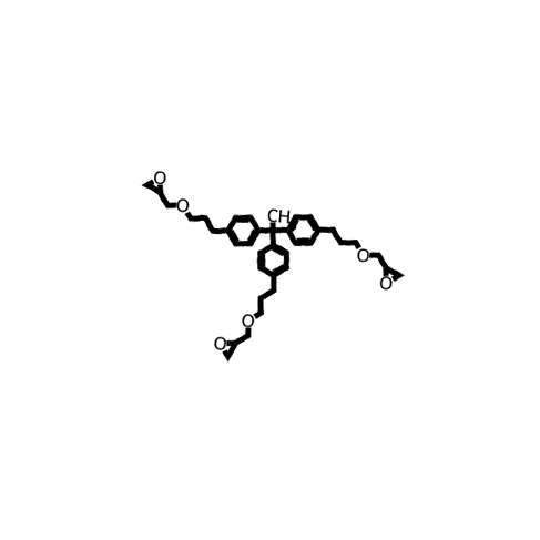 CC(c1ccc(CCCOCC2CO2)cc1)(c1ccc(CCCOCC2CO2)cc1)c1ccc(CCCOCC2CO2)cc1